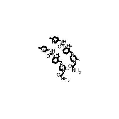 Cc1ccc(NC(=O)Nc2cccc(CN3CCN(CC(N)=O)[C@@H](C)C3)c2F)cn1.Cc1ccc(NC(=O)Nc2cccc(CN3CCN(CC(N)=O)[C@H](C)C3)c2F)cn1